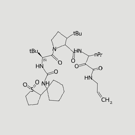 C=CCNC(=O)C(=O)C(CCC)NC(=O)C1C(C(C)(C)C)CCN1C(=O)[C@@H](NC(=O)NC1(C2CCCS2(=O)=O)CCCCC1)C(C)(C)C